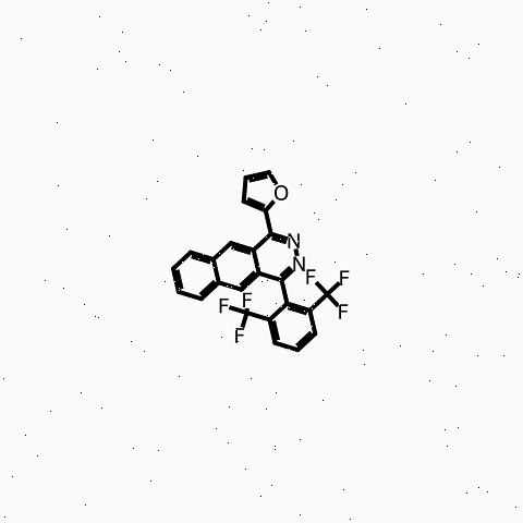 FC(F)(F)c1cccc(C(F)(F)F)c1-c1nnc(-c2ccco2)c2cc3ccccc3cc12